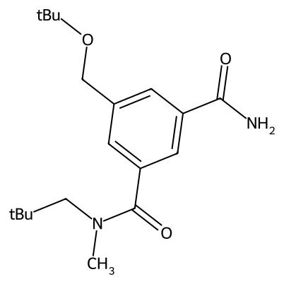 CN(CC(C)(C)C)C(=O)c1cc(COC(C)(C)C)cc(C(N)=O)c1